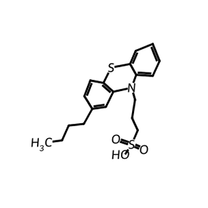 CCCCc1ccc2c(c1)N(CCCS(=O)(=O)O)c1ccccc1S2